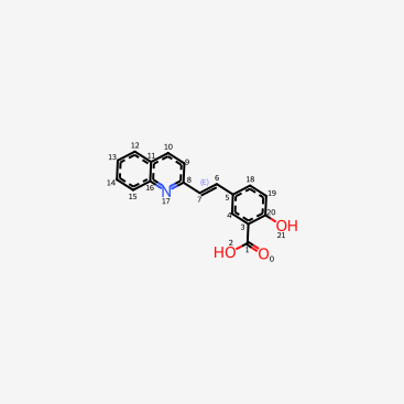 O=C(O)c1cc(/C=C/c2ccc3ccccc3n2)ccc1O